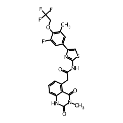 Cc1cc(-c2csc(NC(=O)Cc3cccc4[nH]c(=O)n(C)c(=O)c34)n2)cc(F)c1OCC(F)(F)F